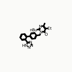 CCCCc1nc(C)c(CC)c(=O)n1Cc1ccc(-c2ccccc2-c2nnn[nH]2)cc1